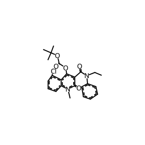 CCN(C(=O)c1c(OC(=O)OC(C)(C)C)c2c(Cl)cccc2n(C)c1=O)c1ccccc1